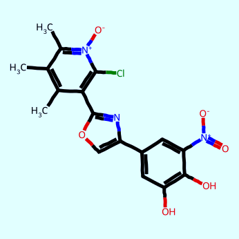 Cc1c(C)c(C)[n+]([O-])c(Cl)c1-c1nc(-c2cc(O)c(O)c([N+](=O)[O-])c2)co1